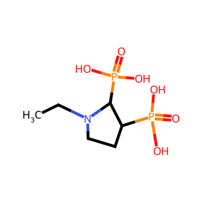 CCN1CCC(P(=O)(O)O)C1P(=O)(O)O